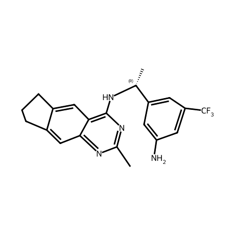 Cc1nc(N[C@H](C)c2cc(N)cc(C(F)(F)F)c2)c2cc3c(cc2n1)CCC3